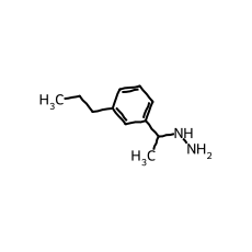 CCCc1cccc(C(C)NN)c1